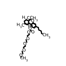 CCCCCc1cc(OC(=O)OCCOCCOCCOCCOC)c2c(c1)OC(C)(C)C1CCC(C)=C[C@@H]21